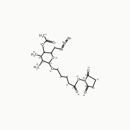 CC(=O)OC1C(CN=[N+]=[N-])OC(OCCCCC(=O)ON2C(=O)CCC2=O)C(C)C1C